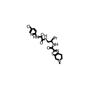 CC(C)C(CNC(=O)C(=O)Nc1ccc(Cl)cn1)NC(=O)c1nc2c(s1)CN(C)CC2